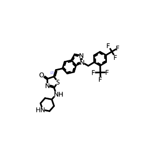 O=C1N=C(NC2CCNCC2)S/C1=C\c1ccc2c(cnn2Cc2ccc(C(F)(F)F)cc2C(F)(F)F)c1